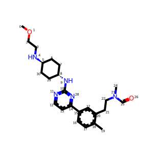 COCCN[C@H]1CC[C@H](Nc2nccc(-c3ccc(C)c(CCN(C)C=O)c3)n2)CC1